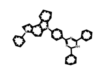 c1ccc(C2=NC(c3ccc(-n4c5ccccc5c5c6ccn(-c7ccccc7)c6ccc54)cc3)=NC(c3ccccc3)N2)cc1